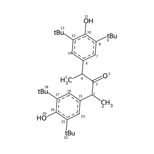 CC(C(=O)C(C)c1cc(C(C)(C)C)c(O)c(C(C)(C)C)c1)c1cc(C(C)(C)C)c(O)c(C(C)(C)C)c1